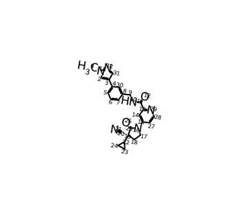 Cn1cc(-c2cccc(CNC(=O)c3cc(N4CC[C@@](C#N)(C5CC5)C4=O)ccn3)c2)cn1